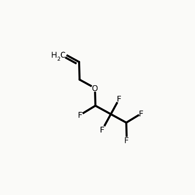 C=CCOC(F)C(F)(F)C(F)F